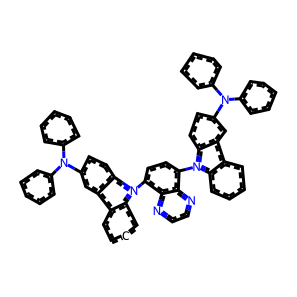 c1ccc(N(c2ccccc2)c2ccc3c(c2)c2ccccc2n3-c2ccc(-n3c4ccccc4c4cc(N(c5ccccc5)c5ccccc5)ccc43)c3nccnc23)cc1